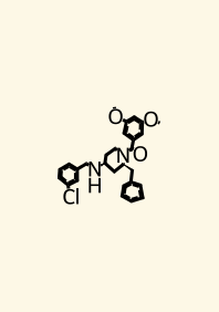 COc1cc(OC)cc(C(=O)N2CC[C@H](NCc3cccc(Cl)c3)C[C@@H]2Cc2ccccc2)c1